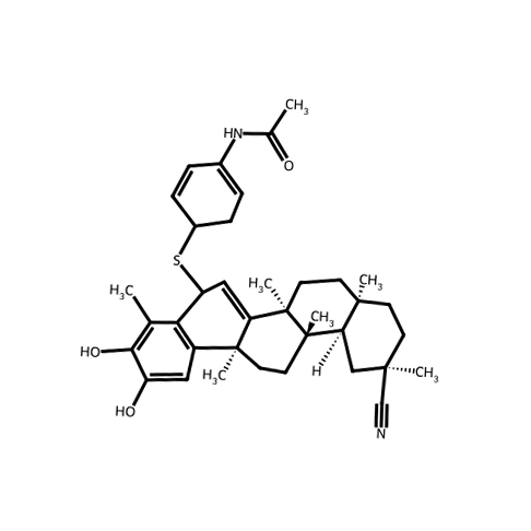 CC(=O)NC1=CCC(SC2C=C3[C@@](C)(CC[C@@]4(C)[C@@H]5C[C@](C)(C#N)CC[C@]5(C)CC[C@]34C)c3cc(O)c(O)c(C)c32)C=C1